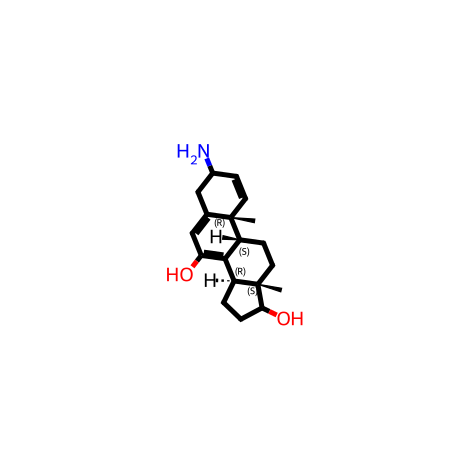 C[C@]12C=CC(N)CC1=CC(O)=C1[C@H]2CC[C@]2(C)C(O)CC[C@@H]12